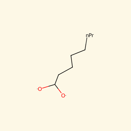 CCCCCCCC([O])[O]